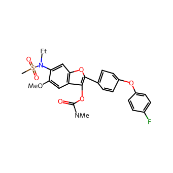 CCN(c1cc2oc(-c3ccc(Oc4ccc(F)cc4)cc3)c(OC(=O)NC)c2cc1OC)S(C)(=O)=O